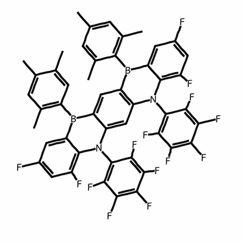 Cc1cc(C)c(B2c3cc4c(cc3N(c3c(F)c(F)c(F)c(F)c3F)c3c(F)cc(F)cc32)N(c2c(F)c(F)c(F)c(F)c2F)c2c(F)cc(F)cc2B4c2cc(C)c(C)cc2C)c(C)c1